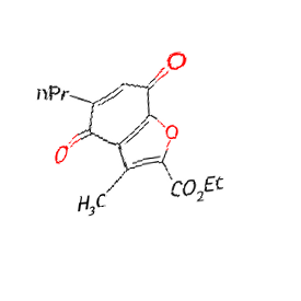 CCCC1=CC(=O)c2oc(C(=O)OCC)c(C)c2C1=O